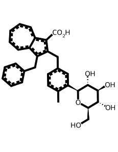 Cc1ccc(Cc2c(Cc3ccccc3)c3cccccc-3c2C(=O)O)cc1[C@@H]1O[C@H](CO)[C@@H](O)[C@H](O)[C@H]1O